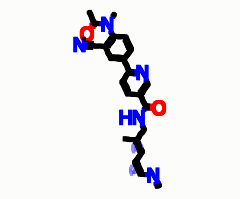 C=N/C=C\C=C(/C)CNC(=O)c1ccc(-c2ccc(N(C)C(C)=O)c(C#N)c2)nc1